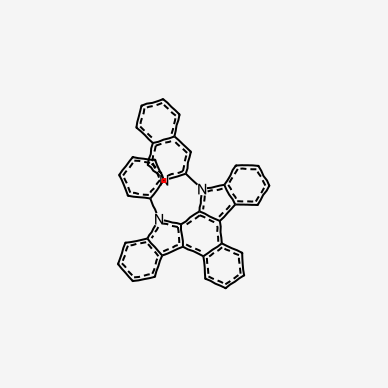 c1ccc(-n2c3ccccc3c3c4ccccc4c4c5ccccc5n(-c5cc6ccccc6cn5)c4c32)cc1